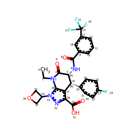 CCN1C(=O)[C@H](NC(=O)c2cccc(C(F)(F)F)c2)[C@H](c2ccc(F)cc2)c2c(C(=O)O)nn(C3COC3)c21